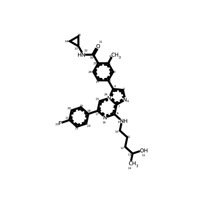 Cc1cc(-c2cnc3c(NCCCC(C)O)nc(-c4ccc(F)cc4)cn23)ccc1C(=O)NC1CC1